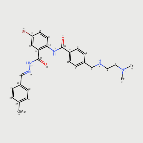 CCN(CC)CCNCc1ccc(C(=O)Nc2ccc(Br)cc2C(=O)N/N=C/c2ccc(OC)cc2)cc1